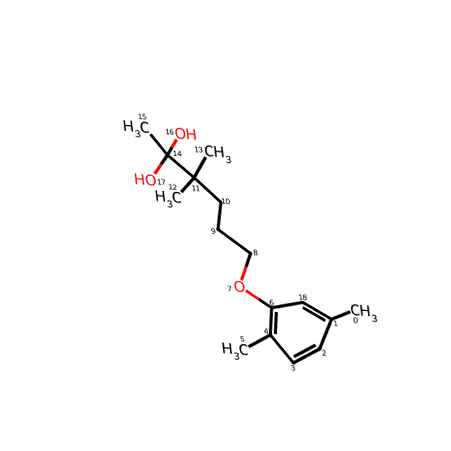 Cc1ccc(C)c(OCCCC(C)(C)C(C)(O)O)c1